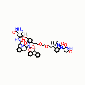 C[C@@H](OCc1ccc(CCCOCCOCCCc2cccc3c2n(C)c(=O)n3C2CCC(=O)NC2=O)cc1)[C@H](CCC(N)=O)NC(=O)[C@@H]1Cc2cccc3c2N1C(=O)[C@@H](NC(=O)OCC1c2ccccc2-c2ccccc21)CC3